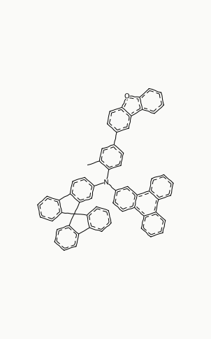 Cc1cc(-c2ccc3oc4ccccc4c3c2)ccc1N(c1ccc2c(c1)C1(c3ccccc3-c3ccccc31)c1ccccc1-2)c1ccc2c3ccccc3c3ccccc3c2c1